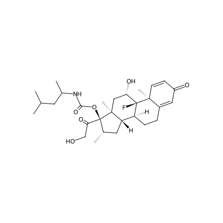 CC(C)CC(C)NC(=O)O[C@]1(C(=O)CO)[C@@H](C)C[C@H]2[C@@H]3CCC4=CC(=O)C=C[C@]4(C)[C@@]3(F)[C@@H](O)C[C@@]21C